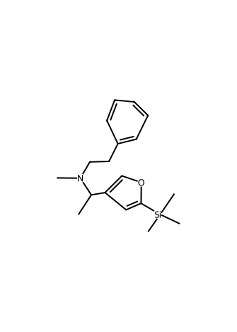 CC(c1coc([Si](C)(C)C)c1)N(C)CCc1ccccc1